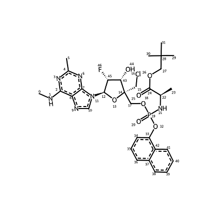 CNc1nc(C)nc2c1ncn2[C@@H]1O[C@](CCl)(COP(=O)(N[C@H](C)C(=O)OCC(C)(C)C)Oc2cccc3ccccc23)[C@@H](O)[C@H]1F